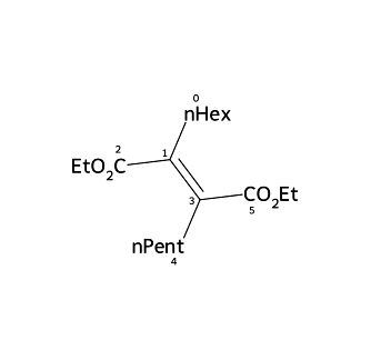 CCCCCCC(C(=O)OCC)=C(CCCCC)C(=O)OCC